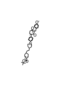 COc1ccc(CN2C(=O)CC[C@H](c3ccc(N4CCC(CCC5CCN(C(=O)OC(C)(C)C)CC5)CC4)cc3)C2=O)cc1